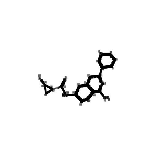 Nc1nc(-c2cccnc2)cc2cc(NC(=O)[C@@H]3C[C@H]3F)ncc12